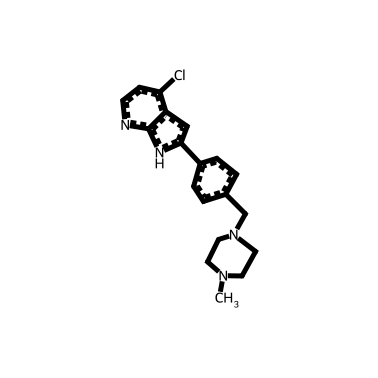 CN1CCN(Cc2ccc(-c3cc4c(Cl)ccnc4[nH]3)cc2)CC1